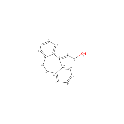 OCC=C1c2ccccc2CCc2ccccc21